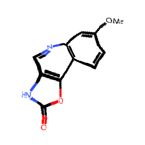 COc1ccc2c(c1)ncc1[nH]c(=O)oc12